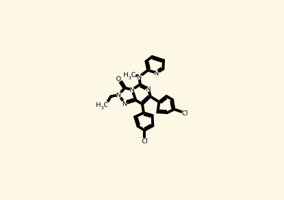 CCn1nc2c(-c3ccc(Cl)cc3)c(-c3ccc(Cl)cc3)nc(N(C)c3ccccn3)n2c1=O